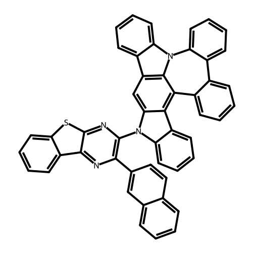 c1ccc2c(c1)-c1ccccc1-n1c3ccccc3c3cc4c(c-2c31)c1ccccc1n4-c1nc2sc3ccccc3c2nc1-c1ccc2ccccc2c1